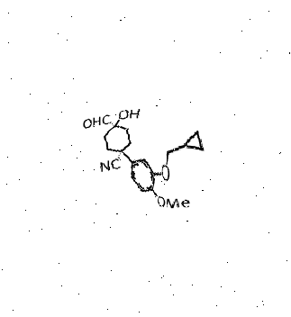 COc1ccc([C@]2(C#N)CC[C@@](O)(C=O)CC2)cc1OCC1CC1